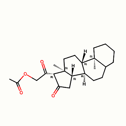 CC(=O)OCC(=O)[C@H]1C(=O)C[C@H]2[C@@H]3CCC4CCCC[C@]4(C)[C@H]3CC[C@]12C